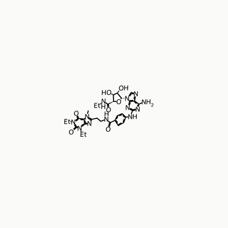 CCNC(=O)[C@@H]1O[C@@H](n2cnc3c(N)nc(Nc4ccc(C(=O)NCCc5nc6c(c(=O)n(CC)c(=O)n6CC)n5C)cc4)nc32)[C@H](O)[C@@H]1O